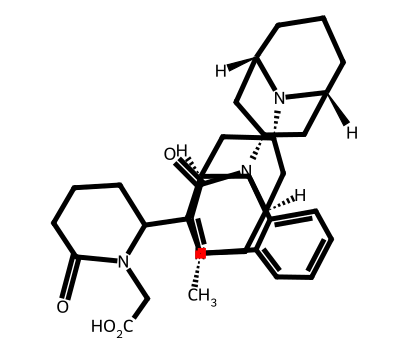 C[C@@H]1C[C@@H]2C[C@H](C1)C[C@@H](N1[C@@H]3CCC[C@H]1C[C@@H](n1c(=O)c(C4CCCC(=O)N4CC(=O)O)nc4ccccc41)C3)C2